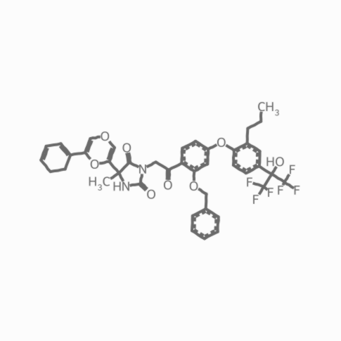 CCCc1cc(C(O)(C(F)(F)F)C(F)(F)F)ccc1Oc1ccc(C(=O)CN2C(=O)NC(C)(C3=COC=C(C4=CC=CCC4)O3)C2=O)c(OCc2ccccc2)c1